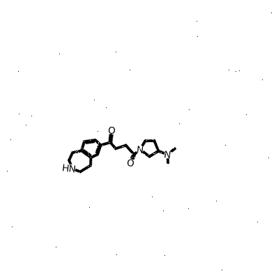 CN(C)C1CCN(C(=O)CCC(=O)c2ccc3c(c2)CCNCC3)C1